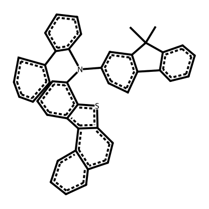 CC1(C)c2ccccc2-c2ccc(N(c3ccccc3-c3ccccc3)c3cccc4c3sc3ccc5ccccc5c34)cc21